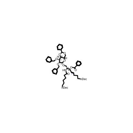 CCCCCCCCCCCCC/C=C/[C@@H](OC(=O)c1ccccc1)[C@H](CO[C@H]1O[C@@H]2COC(c3ccccc3)O[C@@H]2[C@H](OCc2ccccc2)[C@H]1OCc1ccccc1)NC(=O)CCCCCCCCCCCCCCC